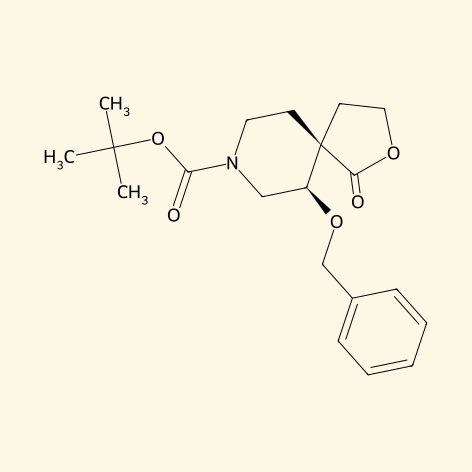 CC(C)(C)OC(=O)N1CC[C@]2(CCOC2=O)[C@@H](OCc2ccccc2)C1